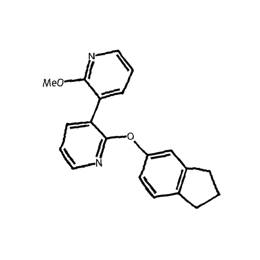 COc1ncccc1-c1cccnc1Oc1ccc2c(c1)CCC2